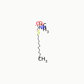 CCCCCCCCCCCCSCC([C]=O)NC(C)=O